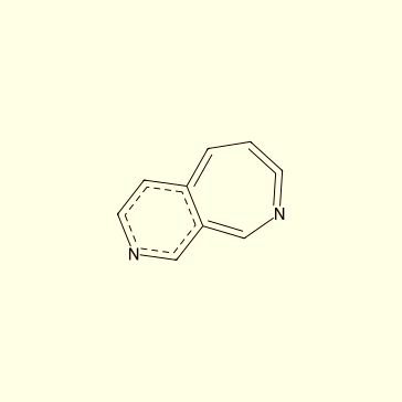 C1=CC=c2ccncc2=CN=1